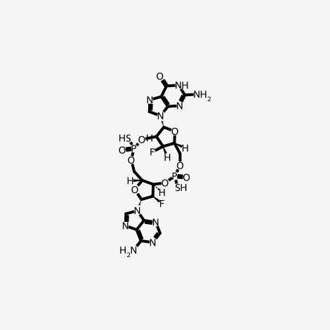 Nc1nc2c(ncn2[C@@H]2O[C@@H]3COP(=O)(S)O[C@H]4[C@@H](F)[C@H](n5cnc6c(N)ncnc65)O[C@@H]4COP(=O)(S)O[C@@H]2[C@H]3F)c(=O)[nH]1